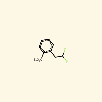 CCOC(=O)c1ccccc1CC(F)F